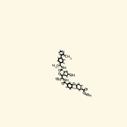 Cc1ncsc1-c1ccc([C@H](C)NC(=O)[C@@H]2C[C@@H](O)CN2C(=O)[C@@H](NC(=O)c2cccc(OC3CCN(C(=O)OC(C)(C)C)CC3)c2)C(C)(C)C)cc1